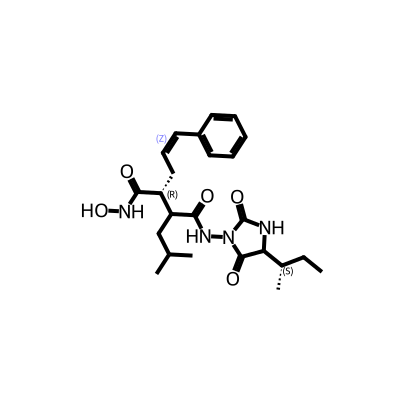 CC[C@H](C)C1NC(=O)N(NC(=O)C(CC(C)C)[C@@H](C/C=C\c2ccccc2)C(=O)NO)C1=O